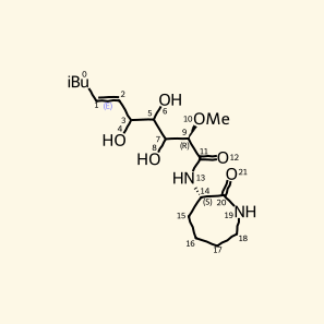 CCC(C)/C=C/C(O)C(O)C(O)[C@@H](OC)C(=O)N[C@H]1CCCCNC1=O